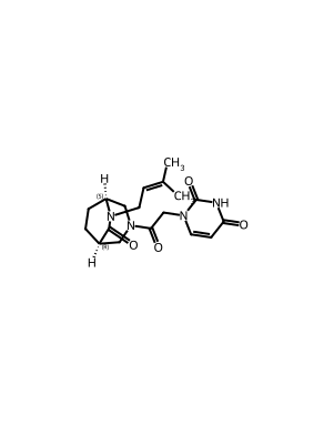 CC(C)=CCN1C(=O)[C@@H]2CC[C@H]1CN(C(=O)Cn1ccc(=O)[nH]c1=O)C2